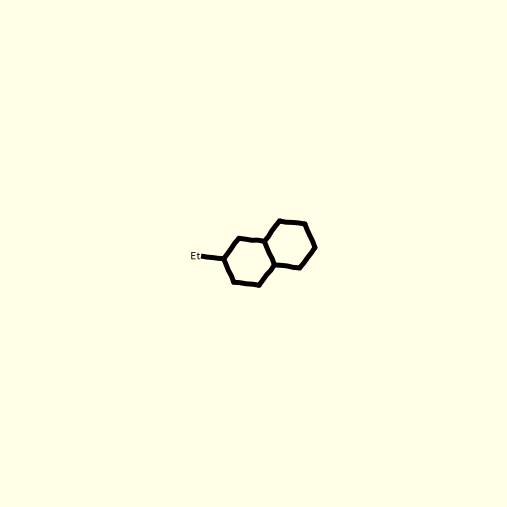 CCC1CCC2CCCCC2C1